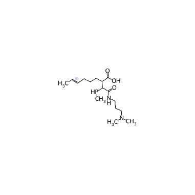 C/C=C/CCCC(C(=O)O)C(PC)C(=O)NCCCN(C)C